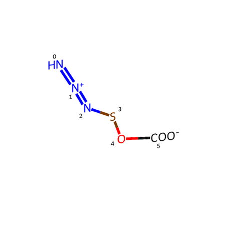 N=[N+]=NSOC(=O)[O-]